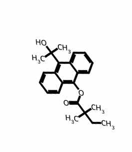 CCC(C)(C)C(=O)Oc1c2ccccc2c(C(C)(C)O)c2ccccc12